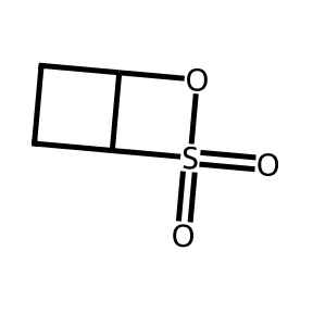 O=S1(=O)OC2CCC21